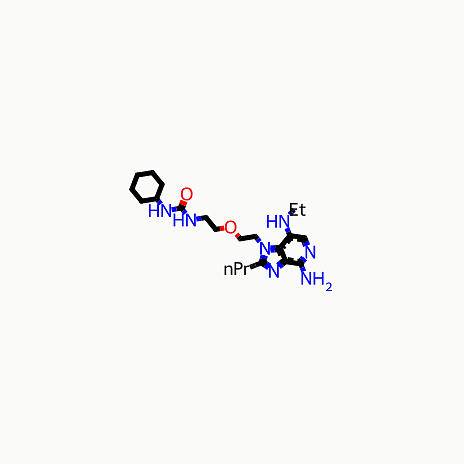 CCCc1nc2c(N)ncc(NCC)c2n1CCOCCNC(=O)NC1CCCCC1